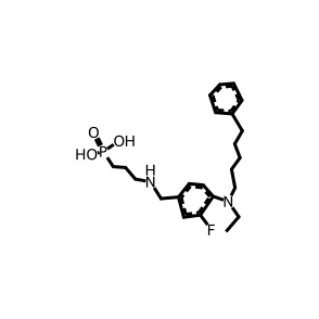 CCN(CCCCCc1ccccc1)c1ccc(CNCCCP(=O)(O)O)cc1F